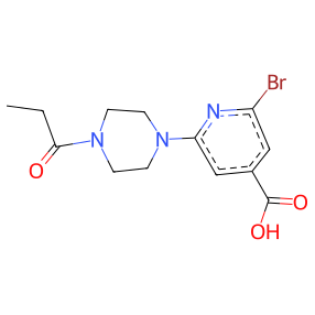 CCC(=O)N1CCN(c2cc(C(=O)O)cc(Br)n2)CC1